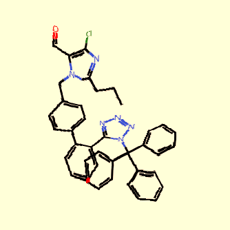 CCCc1nc(Cl)c(C=O)n1Cc1ccc(-c2ccccc2-c2nnnn2C(c2ccccc2)(c2ccccc2)c2ccccc2)cc1